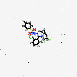 Cc1ccc(S(=O)(=O)N/N=C(\c2c(Cl)cccc2Cl)N2CC(F)CC23CC3)cc1